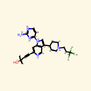 CC(C)(O)C#Cc1cc2c(cn1)c(C1CCN(CCC(F)(F)F)CC1)cn2-c1ccnc(N)n1